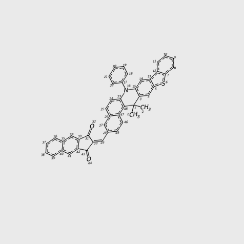 CC1(C)c2cc3sc4ccccc4c3cc2N(c2ccccc2)c2ccc3cc(C=C4C(=O)c5cc6ccccc6cc5C4=O)ccc3c21